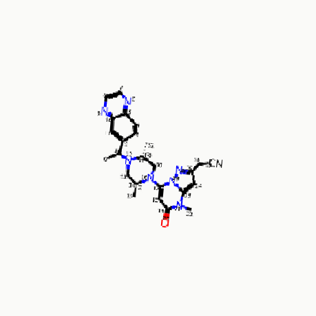 CC(c1ccc2nccnc2c1)N1C[C@H](C)N(c2cc(=O)n(C)c3cc(CC#N)nn23)C[C@H]1C